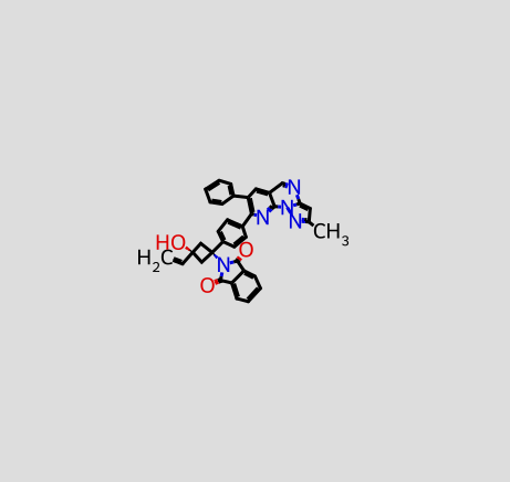 C=C[C@]1(O)C[C@@](c2ccc(-c3nc4c(cnc5cc(C)nn54)cc3-c3ccccc3)cc2)(N2C(=O)c3ccccc3C2=O)C1